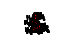 C=C1C[C@@H](CO[Si](C)(C)C(C)(C)C)N(C(=O)c2cc(OC)c(OCCCCCOc3cc(NC(=O)OCc4ccc(O[C@@H]5O[C@H](C(=O)OC)[C@@H](OC(C)=O)[C@H](OC(C)=O)[C@H]5OC(C)=O)c(N=[N+]=[N-])c4)c(C(=O)N4CC(=C)C[C@H]4CO[Si](C)(C)C(C)(C)C)cc3OC)cc2NC(=O)OCc2ccc(O[C@@H]3O[C@H](C(=O)OC)[C@@H](OC(C)=O)[C@H](OC(C)=O)[C@H]3OC(C)=O)cc2)C1